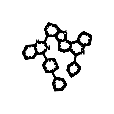 c1ccc(-c2ccc(-c3nc(-c4cccc5sc6c(ccc7c(-c8ccccc8)nc8ccccc8c76)c45)nc4ccccc34)cc2)cc1